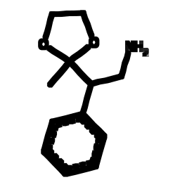 CC1(C(CN)c2ccccc2)OCCO1